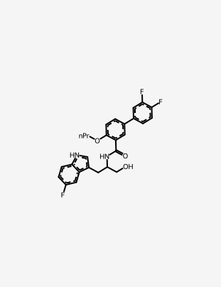 CCCOc1ccc(-c2ccc(F)c(F)c2)cc1C(=O)NC(CO)Cc1c[nH]c2ccc(F)cc12